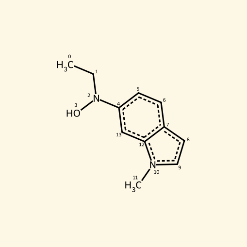 CCN(O)c1ccc2ccn(C)c2c1